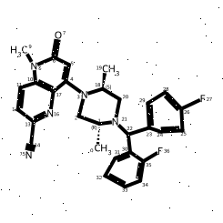 C[C@@H]1CN(c2cc(=O)n(C)c3ccc(C#N)nc23)[C@@H](C)CN1C(c1ccc(F)cc1)c1ccccc1F